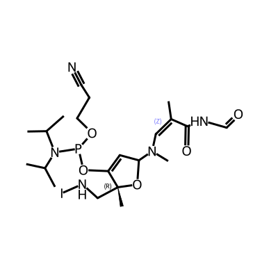 C/C(=C/N(C)C1C=C(OP(OCCC#N)N(C(C)C)C(C)C)[C@@](C)(CNI)O1)C(=O)NC=O